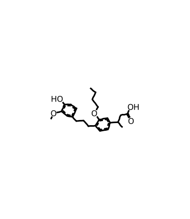 CCCCOc1cc(C(C)CC(=O)O)ccc1CCCc1ccc(O)c(OC)c1